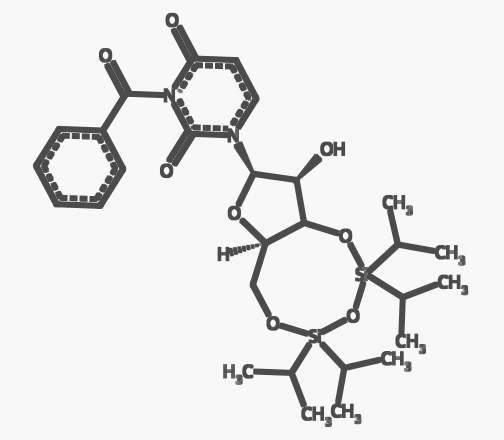 CC(C)[Si]1(C(C)C)OC[C@H]2O[C@@H](n3ccc(=O)n(C(=O)c4ccccc4)c3=O)[C@@H](O)C2O[Si](C(C)C)(C(C)C)O1